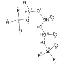 CC[SiH](O[SiH](CC)O[Si](CC)(CC)CC)O[SiH](CC)O[Si](CC)(CC)CC